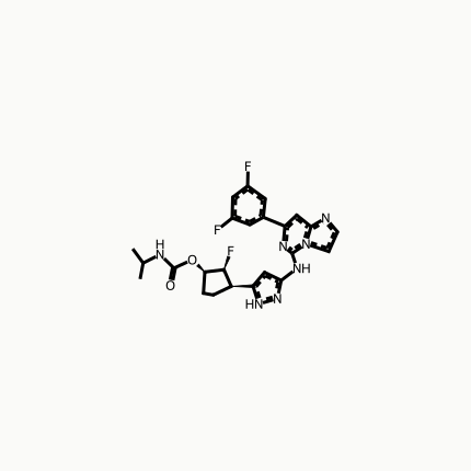 CC(C)NC(=O)O[C@@H]1CC[C@H](c2cc(Nc3nc(-c4cc(F)cc(F)c4)cc4nccn34)n[nH]2)[C@@H]1F